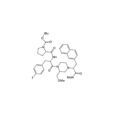 CNC(=O)C(Cc1ccc2ccccc2c1)N1CCN(C(=O)C(Cc2ccc(F)cc2)NC(=O)C2CCCN2C(=O)OC(C)(C)C)C(COC)C1